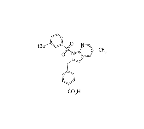 CC(C)(C)c1cccc(S(=O)(=O)n2c(Cc3ccc(C(=O)O)cc3)cc3cc(C(F)(F)F)cnc32)c1